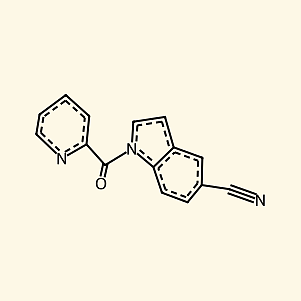 N#Cc1ccc2c(ccn2C(=O)c2ccccn2)c1